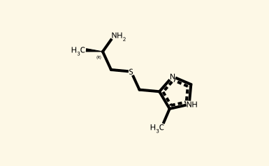 Cc1[nH]cnc1CSC[C@@H](C)N